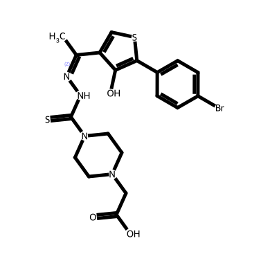 C/C(=N/NC(=S)N1CCN(CC(=O)O)CC1)c1csc(-c2ccc(Br)cc2)c1O